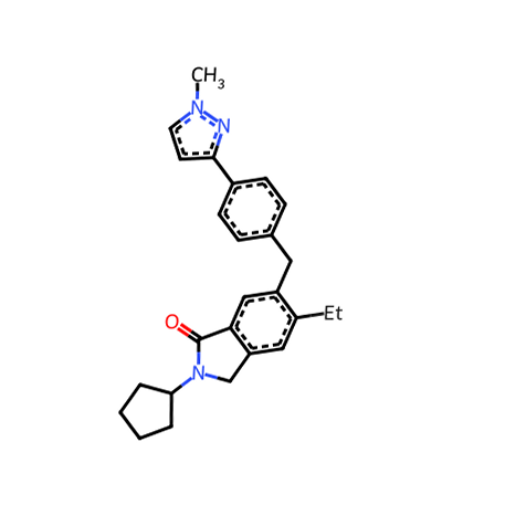 CCc1cc2c(cc1Cc1ccc(-c3ccn(C)n3)cc1)C(=O)N(C1CCCC1)C2